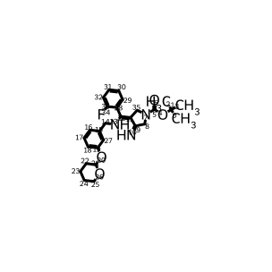 CC(C)(C)OC(=O)N1CC(=N)/C(=C(\NCc2cccc(OC3CCCCO3)c2)c2ccccc2F)C1